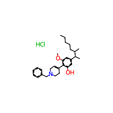 CCCCCC(C)C(C)c1cc(O)c(C2=CCN(Cc3ccccc3)CC2)c(OC)c1.Cl